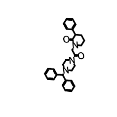 O=C(CN1CCCC(c2ccccc2)C1=O)N1CCN(C(c2ccccc2)c2ccccc2)CC1